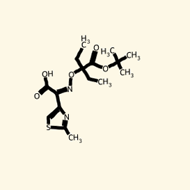 CCC(CC)(O/N=C(\C(=O)O)c1csc(C)n1)C(=O)OC(C)(C)C